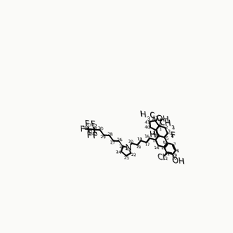 C[C@]12C[C@H](F)C3c4ccc(O)c(Cl)c4CC(CCCCCN4CCC[C@H]4CCCCCC(F)(F)C(F)(F)F)[C@H]3C1CC[C@@]2(C)O